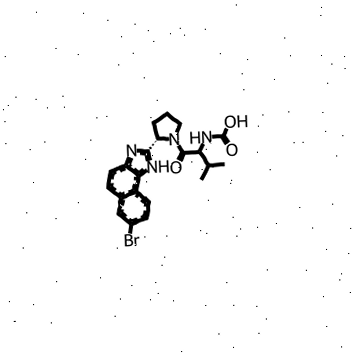 CC(C)C(NC(=O)O)C(=O)N1CCC[C@H]1c1nc2ccc3cc(Br)ccc3c2[nH]1